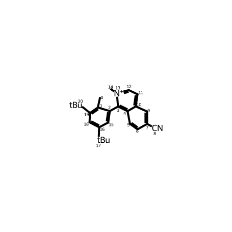 Cc1c(-c2c3ccc(C#N)cc3cc[n+]2C)cc(C(C)(C)C)cc1C(C)(C)C